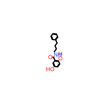 O=C(NCCCCc1ccccc1)c1cc(O)ccc1O